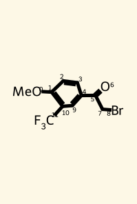 COc1ccc(C(=O)CBr)cc1C(F)(F)F